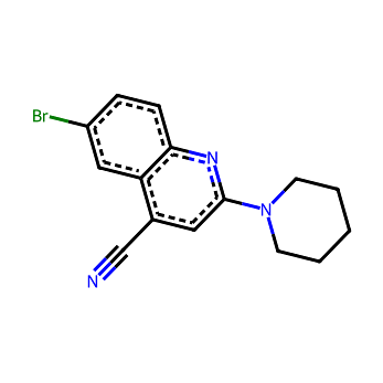 N#Cc1cc(N2CCCCC2)nc2ccc(Br)cc12